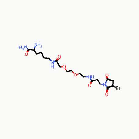 CCC1CC(=O)N(CCC(=O)NCCOCCOCC(=O)NCCCCC(N)C(N)=O)C1=O